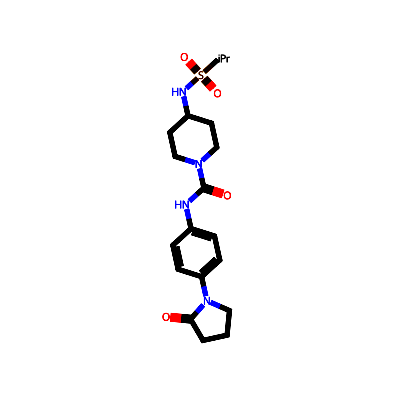 CC(C)S(=O)(=O)NC1CCN(C(=O)Nc2ccc(N3CCCC3=O)cc2)CC1